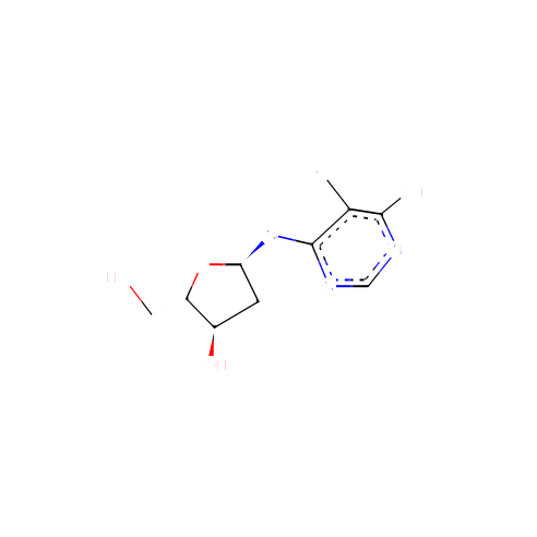 Cc1ncnc(N[C@H]2C[C@@H](O)[C@H](CO)O2)c1C